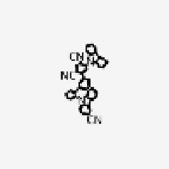 N#Cc1ccc2c(c1)c1ccccc1n2-c1ccccc1-c1cccc(-c2cc(-n3c4ccccc4c4ccccc43)c(C#N)cc2C#N)c1